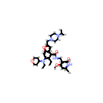 CCc1c(N(CC)C2CCOCC2)cc2oc(CN3CCN(C(C)C)CC3)cc2c1C(=O)NCc1c(OC)cc(C)[nH]c1=O